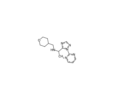 CC(NCC1CCOCC1)c1ncnn1-c1ncccn1